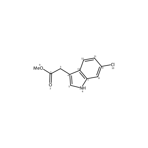 COC(=O)Cc1c[nH]c2cc(Cl)ccc12